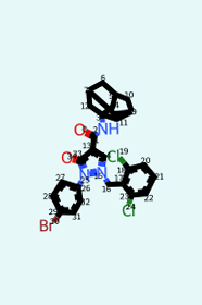 O=C(NC12CC3CC(CC(C3)C1)C2)c1cn(Cc2c(Cl)cccc2Cl)n(-c2ccc(Br)cc2)c1=O